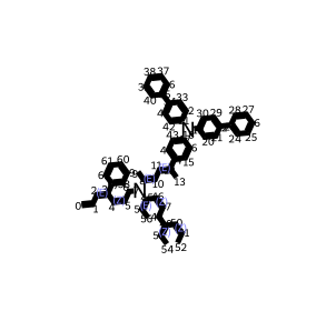 C=C/C=C(\C=C/CN(/C(C)=C/C=C(\C)c1ccc(N(c2ccc(-c3ccccc3)cc2)c2ccc(-c3ccccc3)cc2)cc1)C(/C=C\CC(/C=C\C)=C/C)=C/C)c1ccccc1